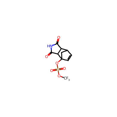 O=C1NC(=O)C2C1C1C=CC2(OS(=O)(=O)OC(F)(F)F)C1